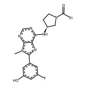 CCC(=O)N1CC[C@H](Nc2ncnc3c2nc(-c2cc(O)cc(F)c2)n3C)C1